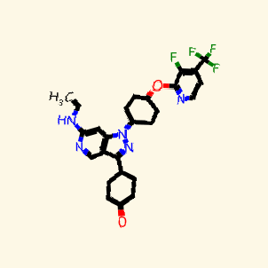 CCNc1cc2c(cn1)c(C1CCC(=O)CC1)nn2C1CCC(Oc2nccc(C(F)(F)F)c2F)CC1